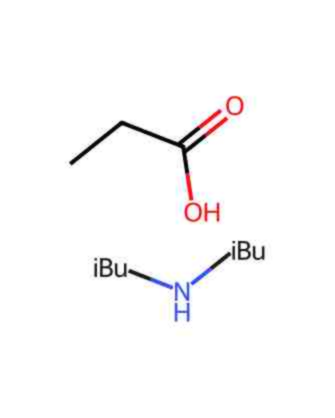 CCC(=O)O.CCC(C)NC(C)CC